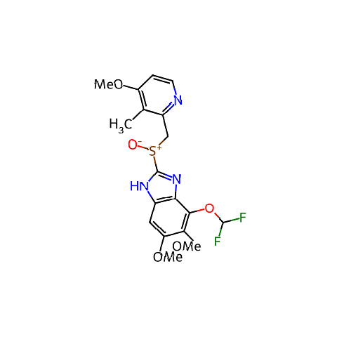 COc1ccnc(C[S+]([O-])c2nc3c(OC(F)F)c(OC)c(OC)cc3[nH]2)c1C